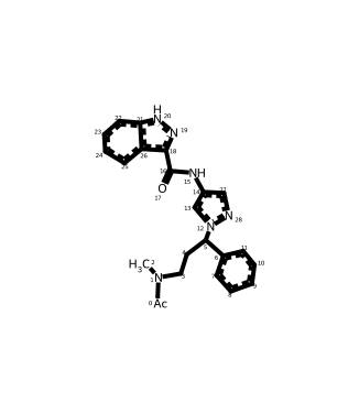 CC(=O)N(C)CCC(c1ccccc1)n1cc(NC(=O)c2n[nH]c3ccccc23)cn1